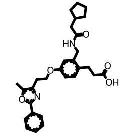 Cc1oc(-c2ccccc2)nc1CCOc1ccc(CCC(=O)O)c(CNC(=O)CC2CCCC2)c1